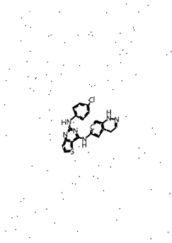 Clc1ccc(Nc2nc(Nc3ccc4c(c3)CC=NN4)c3sccc3n2)cc1